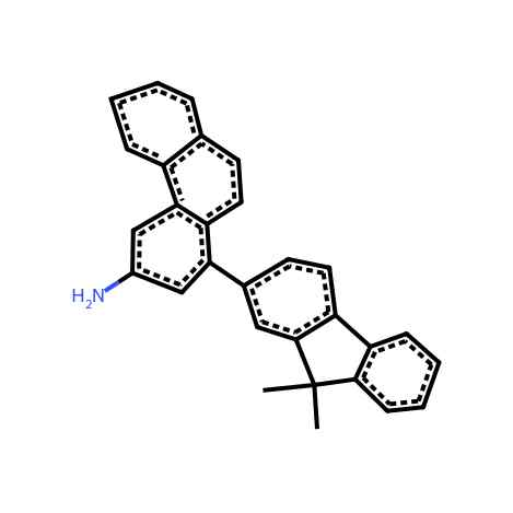 CC1(C)c2ccccc2-c2ccc(-c3cc(N)cc4c3ccc3ccccc34)cc21